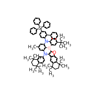 Cc1cc2c3c(c1)N(c1ccc4c(c1)C(C)(C)CCC4(C)C)c1c(oc4cc5c(cc14)C(C)(C)CCC5(C)C)B3c1cc(C(C)(C)C)ccc1N2c1ccc([Si](c2ccccc2)(c2ccccc2)c2ccccc2)cc1-c1ccccc1